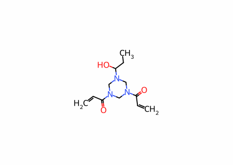 C=CC(=O)N1CN(C(=O)C=C)CN(C(O)CC)C1